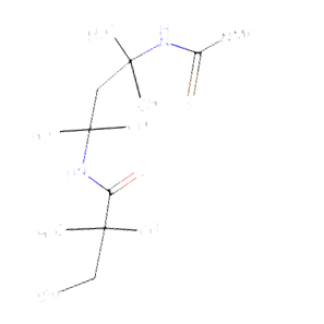 CNC(=S)NC(C)(C)CC(C)(C)NC(=O)C(C)(C)CC(C)(C)C